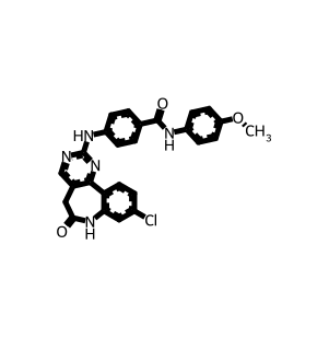 COc1ccc(NC(=O)c2ccc(Nc3ncc4c(n3)-c3ccc(Cl)cc3NC(=O)C4)cc2)cc1